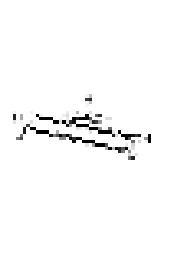 CCCCCCCCCCCCCCCCCC(=O)O.CCCCCCCCCCCCCCCCCCO.OCC(O)CO